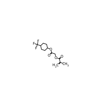 C=C(C)C(=O)OCC(=O)OC1CCC(C(F)(F)F)CC1